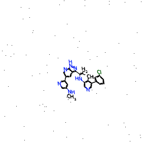 C=C(Nc1cncc(-c2cccc(Cl)c2)c1C)c1n[nH]c2ncc(-c3cncc(NC)c3)cc12